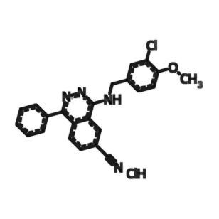 COc1ccc(CNc2nnc(-c3ccccc3)c3ccc(C#N)cc23)cc1Cl.Cl